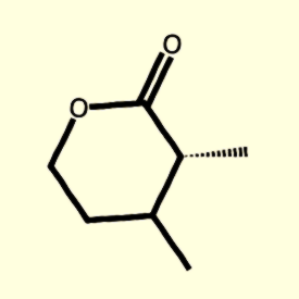 CC1CCOC(=O)[C@@H]1C